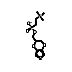 C[N+](C)(C)CCP(=O)([O-])OCC1COc2cscc2O1